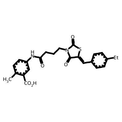 CCc1ccc(/C=C2\SC(=O)N(CCCC(=O)Nc3ccc(C)c(C(=O)O)c3)C2=O)cc1